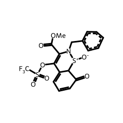 COC(=O)C1=C(OS(=O)(=O)C(F)(F)F)C2=CC=CC(=O)C2[S+]([O-])N1Cc1ccccc1